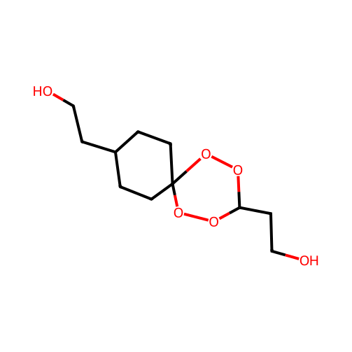 OCCC1CCC2(CC1)OOC(CCO)OO2